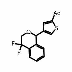 CC(=O)c1cc(C2OCC(F)(F)c3ccccc32)cs1